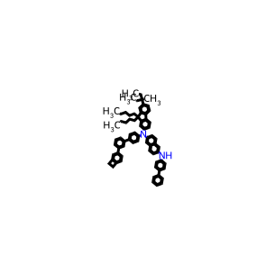 CCCCCC1(CCCCC)c2cc(N(c3ccc(-c4cccc(-c5ccc6c(c5)CC6)c4)cc3)c3ccc4cc(Nc5ccc(-c6ccccc6)cc5)ccc4c3)ccc2-c2ccc(C(C)(CC)CC)cc21